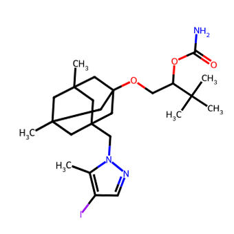 Cc1c(I)cnn1CC12CC3(C)CC(C)(C1)CC(OCC(OC(N)=O)C(C)(C)C)(C3)C2